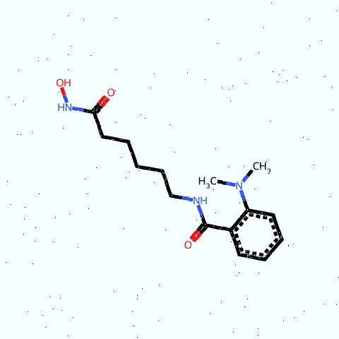 CN(C)c1ccccc1C(=O)NCCCCCC(=O)NO